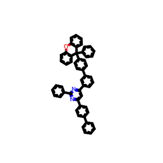 c1ccc(-c2ccc(-c3cc(-c4cccc(-c5ccc(C6(c7ccccc7)c7ccccc7Oc7ccccc76)cc5)c4)nc(-c4ccccc4)n3)cc2)cc1